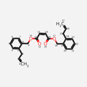 C=CCc1ccccc1COC(=O)/C=C\C(=O)OCc1ccccc1CC=C